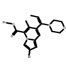 C/C=C(\c1cc2cc(Br)cn2c(C(=O)OC(C)C)c1C)N1CCOCC1